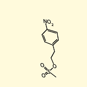 CS(=O)(=O)OCCc1ccc([N+](=O)[O-])cc1